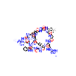 C[C@@H]1NC(=O)[C@@H]2CCCCC[C@H](NC(=O)CN)C(=O)N[C@@H](CSSC[C@@H](C(N)=O)NC(=O)[C@H](CCCNC(=N)N)NC(=O)[C@H](Cc3cc4ccccc4[nH]3)NC1=O)C(=O)N[C@@H](CO)C(=O)N[C@@H](CC(=O)O)C(=O)N1CCCC1C(=O)N[C@@H](CCCNC(=N)N)C(=O)N2